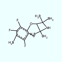 Bc1c(F)c(F)c(OC2C(B)(B)NC2(B)B)c(F)c1F